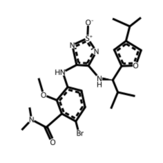 COc1c(Nc2n[s+]([O-])nc2N[C@@H](c2cc(C(C)C)co2)C(C)C)ccc(Br)c1C(=O)N(C)C